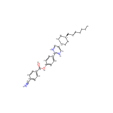 CCCCCCC[C@H]1CC[C@H](c2cnc(-c3ccc(OC(=O)c4ccc(C#N)cc4)cc3)nc2)CC1